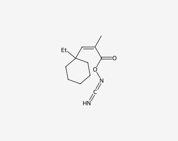 CCC1(C=C(C)C(=O)ON=C=N)CCCCC1